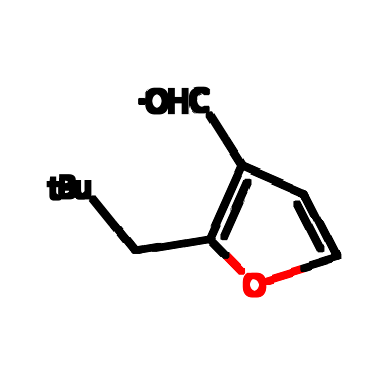 CC(C)(C)Cc1occc1[C]=O